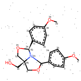 COc1ccc(C2OC[C@]3(CO)CO[C@@H](c4ccc(OC)cc4)N23)cc1